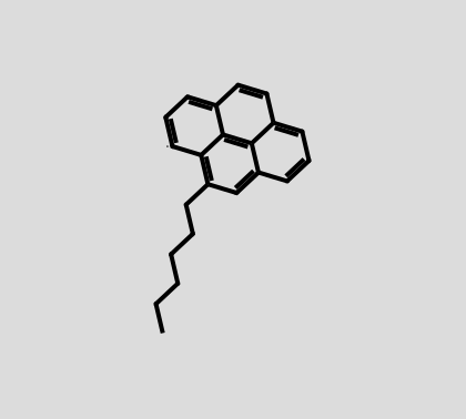 CCCCCCc1cc2cccc3ccc4cc[c]c1c4c32